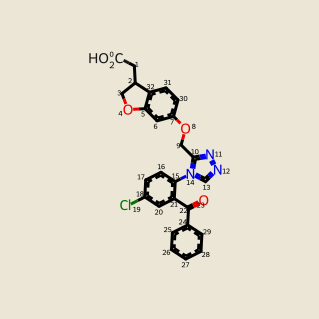 O=C(O)CC1COc2cc(OCc3nncn3-c3ccc(Cl)cc3C(=O)c3ccccc3)ccc21